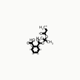 C=CC(=O)OC(C)(C)OC(=O)c1ccccc1C(=O)O